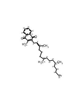 CC1=C(C/C=C(/C)CCC[C@H](C)CCC[C@H](C)CCCC(C)C)C(=O)c2ccccc2C1=O